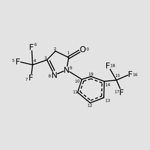 O=C1CC(C(F)(F)F)=NN1c1cccc(C(F)(F)F)c1